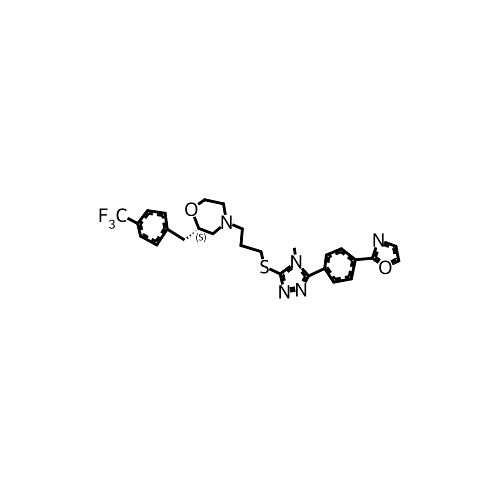 Cn1c(SCCCN2CCO[C@@H](Cc3ccc(C(F)(F)F)cc3)C2)nnc1-c1ccc(-c2ncco2)cc1